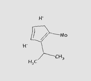 CC(C)C1=[C]([Mo])CC=C1.[H-].[H-]